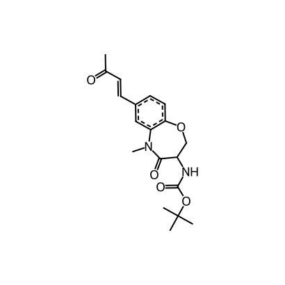 CC(=O)/C=C/c1ccc2c(c1)N(C)C(=O)C(NC(=O)OC(C)(C)C)CO2